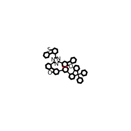 c1ccc(C2(c3ccccc3)c3ccccc3-c3c(-c4cccc(-c5ccc6oc7cccc(-c8nc(-c9ccc%10oc%11ccccc%11c%10c9)nc(-c9cccc%10sc%11ccccc%11c9%10)n8)c7c6c5)c4)cccc32)cc1